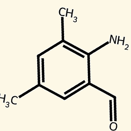 Cc1cc(C)c(N)c(C=O)c1